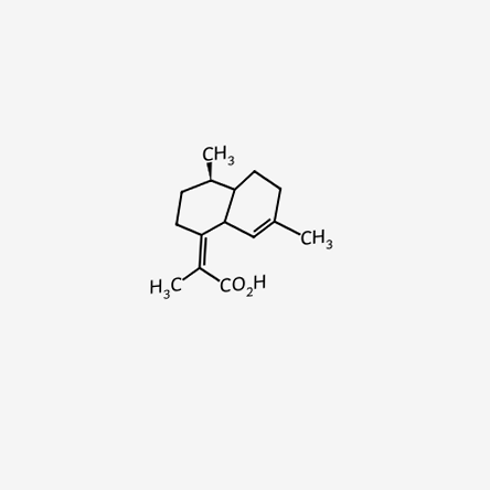 CC1=CC2/C(=C(/C)C(=O)O)CC[C@@H](C)C2CC1